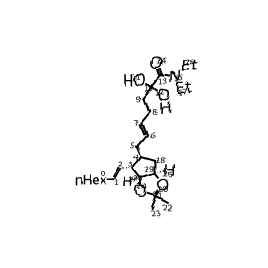 CCCCCCC=C[C@@H]1[C@@H](CC=CCCC(O)(O)C(=O)N(CC)CC)C[C@H]2OC(C)(C)O[C@@H]12